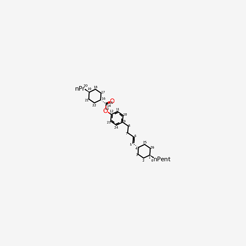 CCCCC[C@H]1CC[C@H](C=CCCc2ccc(OC(=O)[C@H]3CC[C@H](CCC)CC3)cc2)CC1